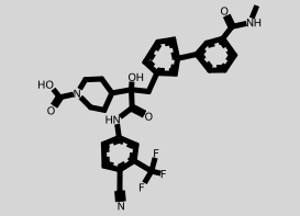 CNC(=O)c1cccc(-c2cccc(CC(O)(C(=O)Nc3ccc(C#N)c(C(F)(F)F)c3)C3CCN(C(=O)O)CC3)c2)c1